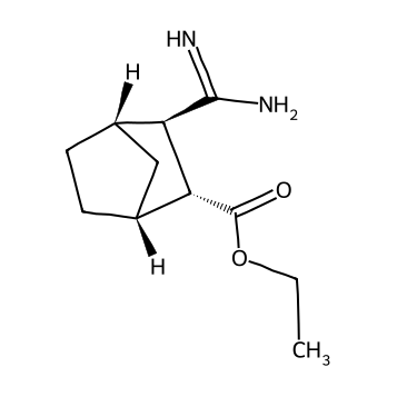 CCOC(=O)[C@@H]1[C@@H]2CC[C@@H](C2)[C@H]1C(=N)N